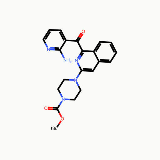 CC(C)(C)OC(=O)N1CCN(c2cc3ccccc3c(C(=O)c3cccnc3N)n2)CC1